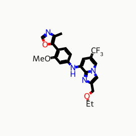 CCOCc1cn2cc(C(F)(F)F)cc(Nc3ccc(-c4ocnc4C)c(OC)c3)c2n1